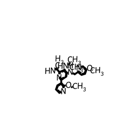 CCOc1ncccc1-c1cc(NCc2ccc(OC)cn2)c(NC(C)C)c(C(C)=N)n1